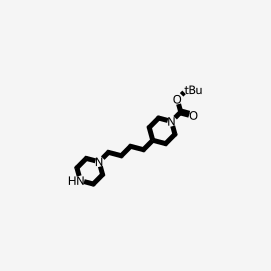 CC(C)(C)OC(=O)N1CCC(CCCCN2CCNCC2)CC1